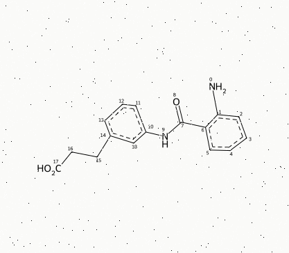 Nc1ccccc1C(=O)Nc1cccc(CCC(=O)O)c1